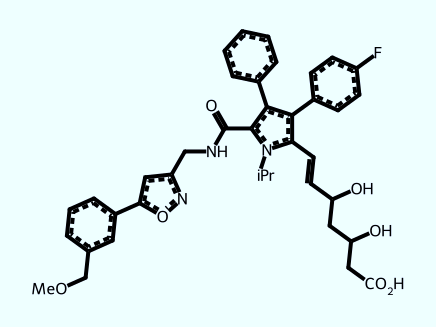 COCc1cccc(-c2cc(CNC(=O)c3c(-c4ccccc4)c(-c4ccc(F)cc4)c(C=CC(O)CC(O)CC(=O)O)n3C(C)C)no2)c1